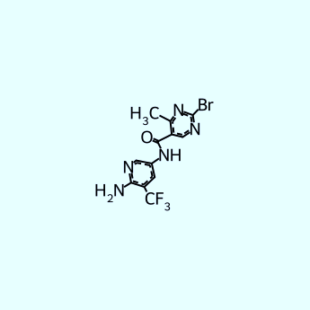 Cc1nc(Br)ncc1C(=O)Nc1cnc(N)c(C(F)(F)F)c1